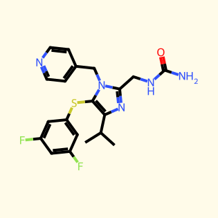 CC(C)c1nc(CNC(N)=O)n(Cc2ccncc2)c1Sc1cc(F)cc(F)c1